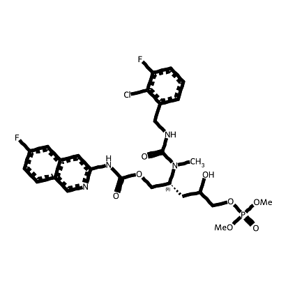 COP(=O)(OC)OCC(O)C[C@H](COC(=O)Nc1cc2cc(F)ccc2cn1)N(C)C(=O)NCc1cccc(F)c1Cl